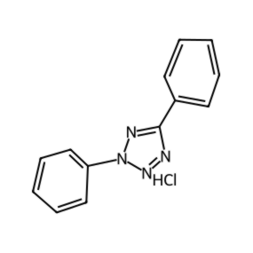 Cl.c1ccc(-c2nnn(-c3ccccc3)n2)cc1